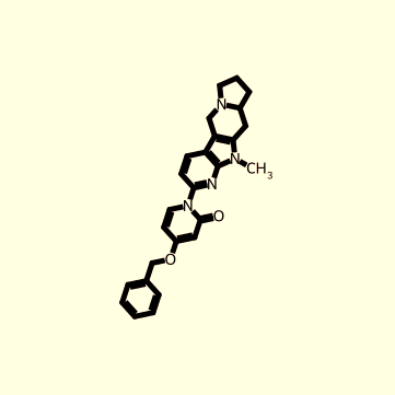 Cn1c2c(c3ccc(-n4ccc(OCc5ccccc5)cc4=O)nc31)CN1CCCC1C2